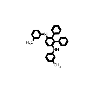 Cc1cccc(Nc2ccc(Nc3cccc(C)c3)c(-c3ccccc3)c2-c2ccccc2)c1